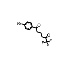 O=C(CCCC(=O)C(F)(F)F)c1ccc(Br)cc1